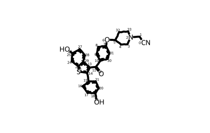 N#CCN1CCC(Oc2ccc(C(=O)c3c(-c4ccc(O)cc4)sc4cc(O)ccc34)cc2)CC1